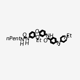 CCCCCNC(=O)Nc1ccc(Oc2ccc(NC(=O)c3ccc(N(C)C4CCN(CC)CC4)cc3)cc2)c(OCC)c1